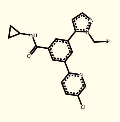 CC(C)Cn1nccc1-c1cc(C(=O)NC2CC2)cc(-c2ccc(Cl)cn2)c1